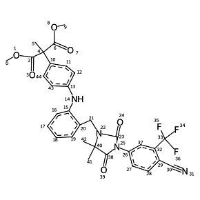 COC(=O)C(C)(C(=O)OC)c1ccc(Nc2ccccc2CN2C(=O)N(c3ccc(C#N)c(C(F)(F)F)c3)C(=O)C2(C)C)cc1